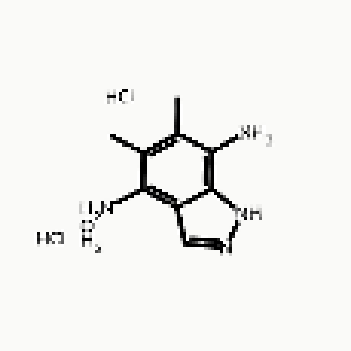 Cc1c(C)c(N)c2[nH]ncc2c1N.Cl.Cl.O